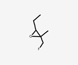 CCC1OC1(C)CF